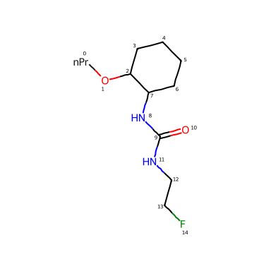 CCCOC1CCCCC1NC(=O)NCCF